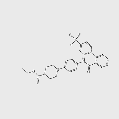 CCOC(=O)C1CCN(c2ccc(NC(=O)c3ccccc3-c3ccc(C(F)(F)F)cc3)cc2)CC1